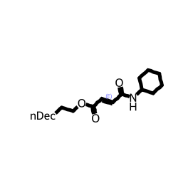 CCCCCCCCCCCCOC(=O)/C=C/C(=O)NC1CCCCC1